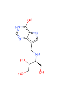 OC[C@H](NCc1cnc2c(O)[nH]cnc1-2)[C@@H](O)CO